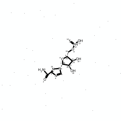 NC(=O)c1ncn([C@@H]2O[C@H](CO[PH](O)=S)[C@@H](O)[C@H]2O)n1